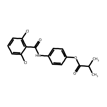 CC(C)C(=O)Oc1ccc(NC(=O)c2c(Cl)cccc2Cl)cc1